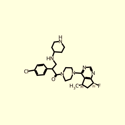 C[C@@H]1C[C@H](F)c2ncnc(N3CCN(C(=O)C(CNC4CCNCC4)c4ccc(Cl)cc4)CC3)c21